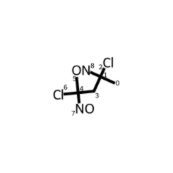 CC(Cl)(CC(C)(Cl)N=O)N=O